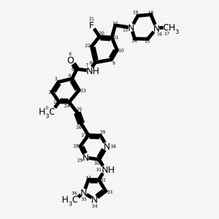 Cc1ccc(C(=O)Nc2ccc(CN3CCN(C)CC3)c(F)c2)cc1C#Cc1cnc(Nc2cnn(C)c2)nc1